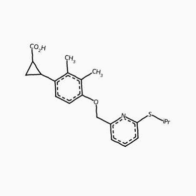 Cc1c(OCc2cccc(SC(C)C)n2)ccc(C2CC2C(=O)O)c1C